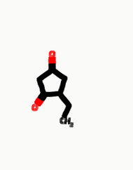 CCC1CC(=O)CC1=O